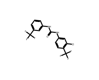 O=C(Nc1cccc(C(F)(F)F)c1)Nc1ccc(C(F)(F)F)c(Cl)c1